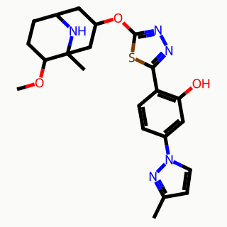 COC1CCC2CC(Oc3nnc(-c4ccc(-n5ccc(C)n5)cc4O)s3)CC1(C)N2